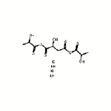 CC(O)C(=O)OC(=O)CC(O)C(=O)OC(=O)C(C)O.[KH].[KH].[KH].[KH]